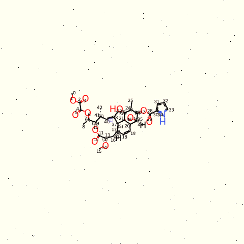 COC(=O)C(=O)O[C@H](C)[C@H]1OC(=O)[C@@H](OC)C[C@H]2C=CC3C4[C@H](O)[C@@H](C)[C@@H](OC(=O)c5ccc[nH]5)[C@@H]3O[C@]42/C(C)=C/[C@H]1C